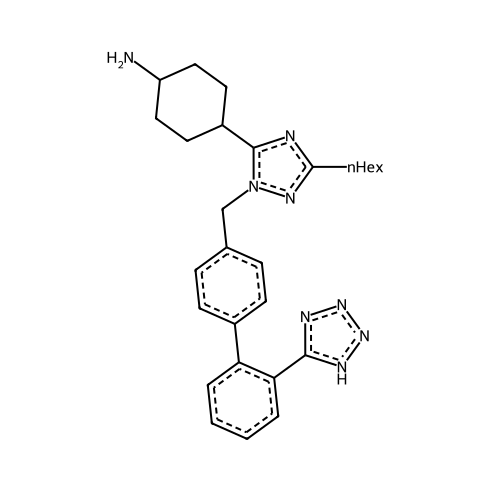 CCCCCCc1nc(C2CCC(N)CC2)n(Cc2ccc(-c3ccccc3-c3nnn[nH]3)cc2)n1